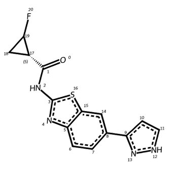 O=C(Nc1nc2ccc(-c3cc[nH]n3)cc2s1)[C@@H]1CC1F